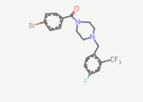 O=C(c1ccc(Br)cc1)N1CCN(Cc2ccc(F)cc2C(F)(F)F)CC1